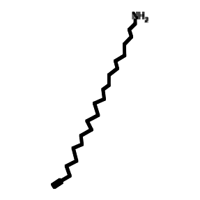 C#CCCCCCCCCCCCCCCCCCCCCCN